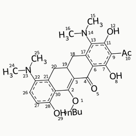 CCCCOC1=C2C(=O)c3c(O)c(C(C)=O)c(O)c(N(C)C)c3CC2Cc2c(N(C)C)ccc(O)c21